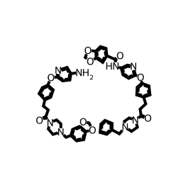 Nc1ccc(Oc2ccc(CCC(=O)N3CCN(Cc4ccc5c(c4)OCO5)CC3)cc2)nc1.O=C(Nc1ccc(Oc2ccc(CCC(=O)N3CCN(Cc4ccccc4)CC3)cc2)nc1)c1ccc2c(c1)OCO2